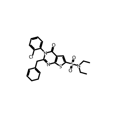 CCN(CC)S(=O)(=O)c1cc2c(=O)n(-c3ccccc3Cl)c(CC3=CCCC=C3)nc2s1